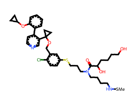 CSNCCCCN(CCCSc1ccc(Cl)c(COC2(c3cnccc3-c3ccccc3OC3CC3)CC2)c1)C(=O)C(O)CCCCO